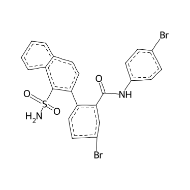 NS(=O)(=O)c1c(-c2ccc(Br)cc2C(=O)Nc2ccc(Br)cc2)ccc2ccccc12